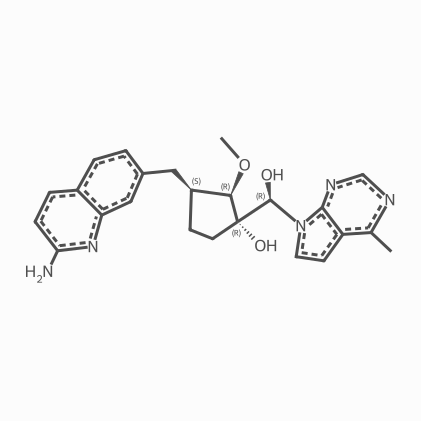 CO[C@@H]1[C@H](Cc2ccc3ccc(N)nc3c2)CC[C@]1(O)[C@@H](O)n1ccc2c(C)ncnc21